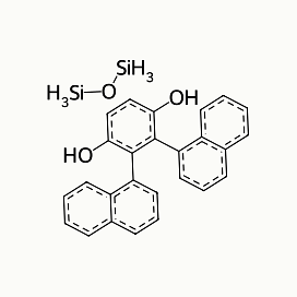 Oc1ccc(O)c(-c2cccc3ccccc23)c1-c1cccc2ccccc12.[SiH3]O[SiH3]